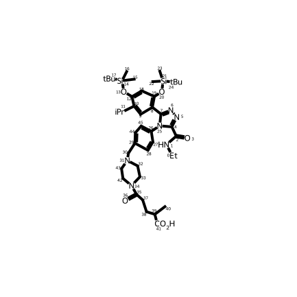 CCNC(=O)c1nnc(-c2cc(C(C)C)c(O[Si](C)(C)C(C)(C)C)cc2O[Si](C)(C)C(C)(C)C)n1-c1ccc(CN2CCN(C(=O)CCC(C)C(=O)O)CC2)cc1